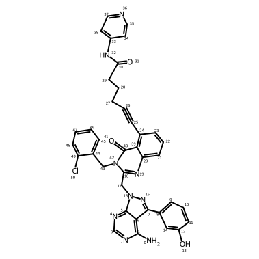 Nc1ncnc2c1c(-c1cccc(O)c1)nn2Cc1nc2cccc(C#CCCCC(=O)Nc3ccncc3)c2c(=O)n1Cc1ccccc1Cl